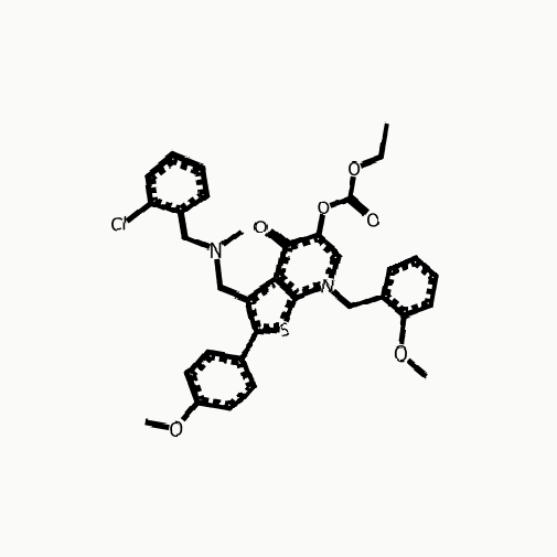 CCOC(=O)Oc1cn(Cc2ccccc2OC)c2sc(-c3ccc(OC)cc3)c(CN(C)Cc3ccccc3Cl)c2c1=O